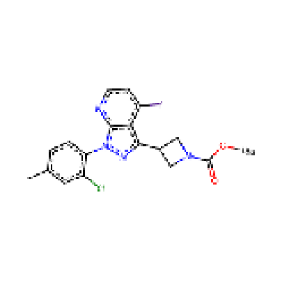 Cc1ccc(-n2nc(C3CN(C(=O)OC(C)(C)C)C3)c3c(I)ccnc32)c(Cl)c1